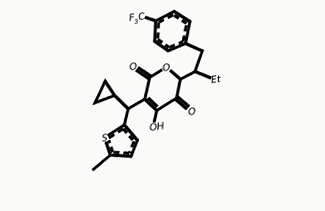 CCC(Cc1ccc(C(F)(F)F)cc1)C1OC(=O)C(C(c2ccc(C)s2)C2CC2)=C(O)C1=O